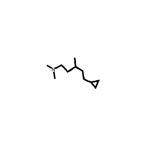 CC(CCC1CC1)CCN(C)C